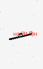 CCCCCCCCCCCCCCCCCCCCCC(=O)O.OCCCO